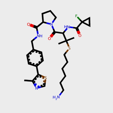 Cc1ncsc1-c1ccc(CNC(=O)C2CCCN2C(=O)C(NC(=O)C2(F)CC2)C(C)(C)SCCCCCCN)cc1